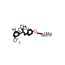 CNCCOc1ccc2c(c1)OC(C)(C)C(c1cccc(C(F)(F)F)c1)C2